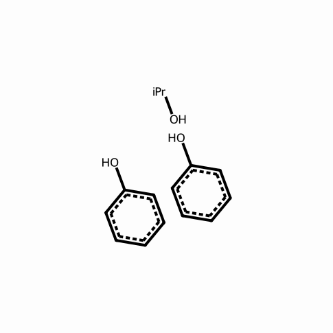 CC(C)O.Oc1ccccc1.Oc1ccccc1